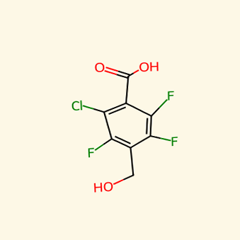 O=C(O)c1c(F)c(F)c(CO)c(F)c1Cl